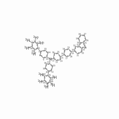 [2H]c1c([2H])c([2H])c(-c2ccc(N(c3ccc(-c4ccc(-c5ccc6sc7ccccc7c6c5)cc4)cc3)c3ccc(-c4c([2H])c([2H])c([2H])c([2H])c4[2H])cc3)cc2)c([2H])c1[2H]